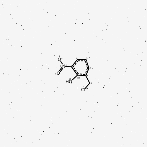 O=[N+]([O-])c1cccc(CCl)c1O